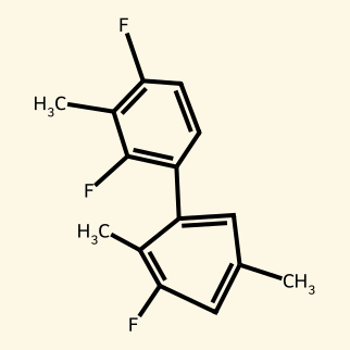 Cc1cc(F)c(C)c(-c2ccc(F)c(C)c2F)c1